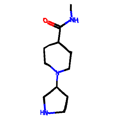 CNC(=O)C1CCN(C2CCNC2)CC1